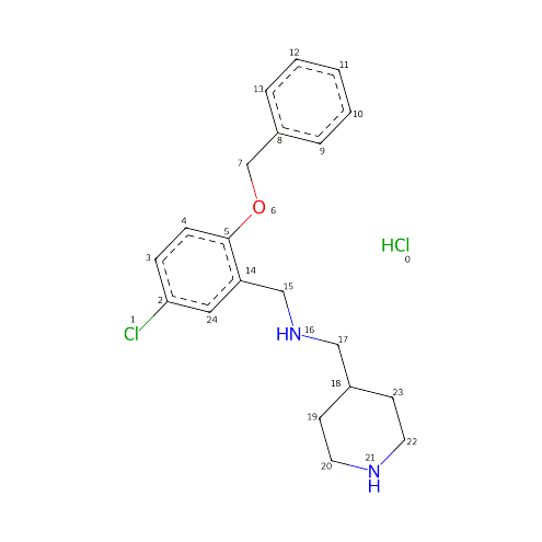 Cl.Clc1ccc(OCc2ccccc2)c(CNCC2CCNCC2)c1